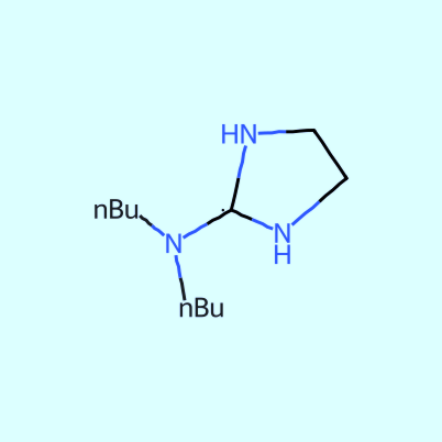 CCCCN(CCCC)[C]1NCCN1